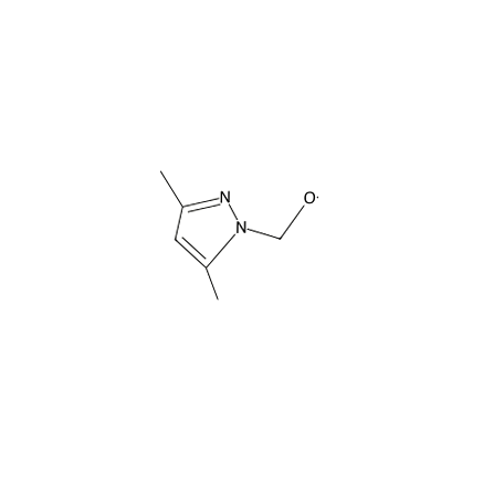 Cc1cc(C)n(C[O])n1